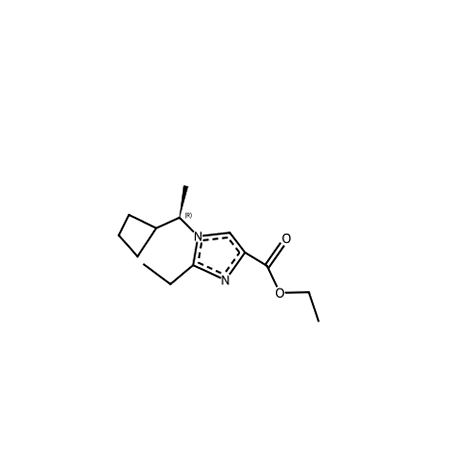 CCOC(=O)c1cn([C@H](C)C2CCC2)c(CC)n1